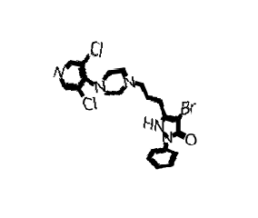 O=c1c(Br)c(CCCN2CCN(c3c(Cl)cncc3Cl)CC2)[nH]n1-c1ccccc1